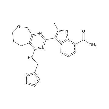 Cc1nc2c(C(N)=O)cccn2c1-c1nc2c(c(NCc3cccs3)n1)CCCOC2